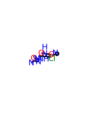 COc1nc(NC(C)c2cc3cc(Cl)c(OCc4ccccn4)cc3[nH]c2=O)ncc1C#N